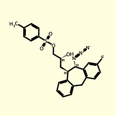 Cc1ccc(S(=O)(=O)OC[C@H](O)C[C@@H]2c3ccccc3Cc3ccc(F)cc3[C@H]2N=[N+]=[N-])cc1